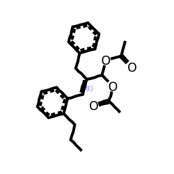 CCCc1ccccc1/C=C(\Cc1ccccc1)C(OC(C)=O)OC(C)=O